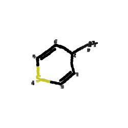 CC(C)C1C=CSC=C1